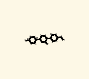 C=Cc1ccc(-c2ccc(-c3ccc(C)cc3)cc2F)cc1